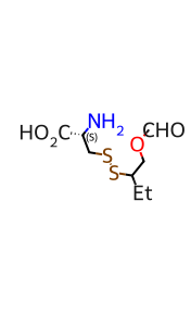 CCC(COC=O)SSC[C@@H](N)C(=O)O